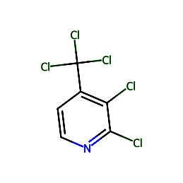 Clc1nccc(C(Cl)(Cl)Cl)c1Cl